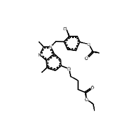 CCOC(=O)CCCOc1cc(C)c2nc(C)n(Cc3ccc(OC(C)=O)cc3Cl)c2c1